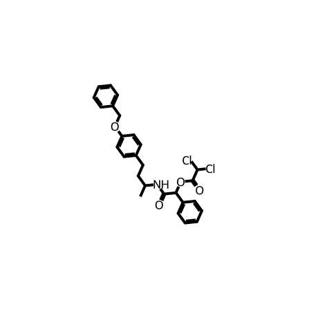 CC(CCc1ccc(OCc2ccccc2)cc1)NC(=O)C(OC(=O)C(Cl)Cl)c1ccccc1